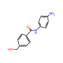 Nc1ccc(NC(=O)c2ccc(CO)cc2)cc1